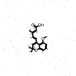 COc1cccc2c1C(C=CC(C)=CC(=O)O)=CC(C)(C)O2